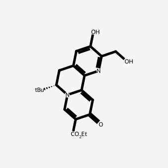 CCOC(=O)c1cn2c(cc1=O)-c1nc(CO)c(O)cc1C[C@H]2C(C)(C)C